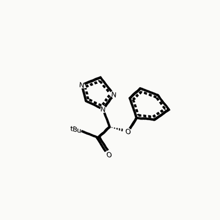 CC(C)(C)C(=O)[C@@H](Oc1ccccc1)n1cncn1